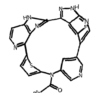 CCCC(=O)n1c2cncc(c2)c2cnc3[nH]nc(c4nc5c(ccnc5c5ccc1s5)[nH]4)c3c2F